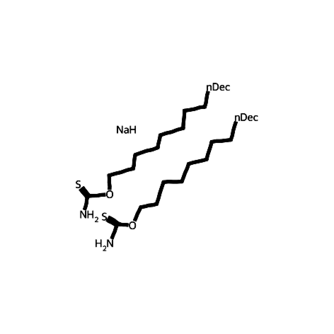 CCCCCCCCCCCCCCCCCCOC(N)=S.CCCCCCCCCCCCCCCCCCOC(N)=S.[NaH]